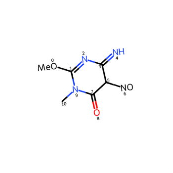 COC1=NC(=N)C(N=O)C(=O)N1C